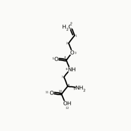 C=CCOC(=O)NCC(N)C(=O)O